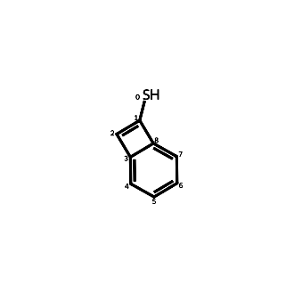 SC1=Cc2ccccc21